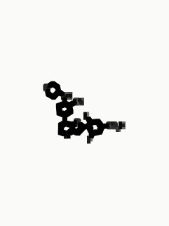 N#Cc1cc(-c2ccnc3cc(-c4c(F)cc(C(=O)O)cc4F)oc23)ccc1NC1CCOCC1